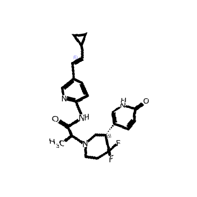 CC(C(=O)Nc1ccc(/C=C/C2CC2)cn1)N1CCC(F)(F)[C@@H](c2ccc(=O)[nH]c2)C1